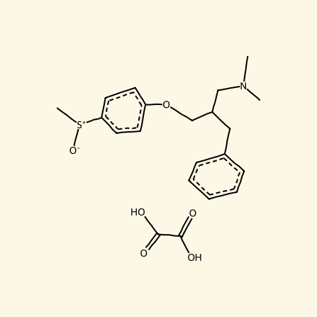 CN(C)CC(COc1ccc([S+](C)[O-])cc1)Cc1ccccc1.O=C(O)C(=O)O